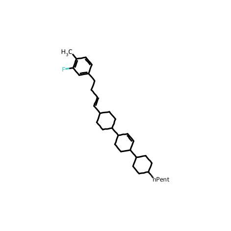 CCCCCC1CCC(C2C=CC(C3CCC(/C=C/CCc4ccc(C)c(F)c4)CC3)CC2)CC1